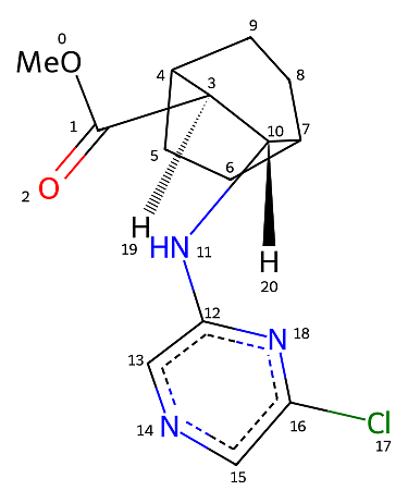 COC(=O)[C@H]1C2CCC(CC2)[C@@H]1Nc1cncc(Cl)n1